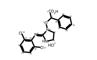 Cl.O=C(O)C(ON1CCN/C1=N\c1c(Cl)cccc1Cl)c1ccccc1